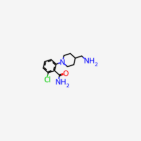 NCC1CCN(c2cccc(Cl)c2C(N)=O)CC1